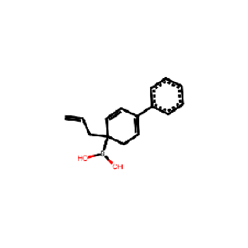 C=CCC1(B(O)O)C=CC(c2ccccc2)=CC1